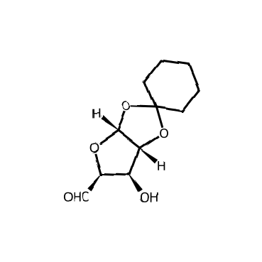 O=C[C@H]1O[C@@H]2OC3(CCCCC3)O[C@@H]2[C@H]1O